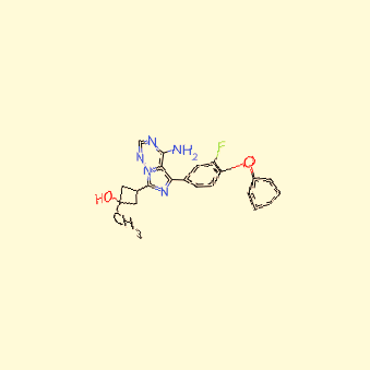 CC1(O)CC(c2nc(-c3ccc(Oc4ccccc4)c(F)c3)c3c(N)ncnn23)C1